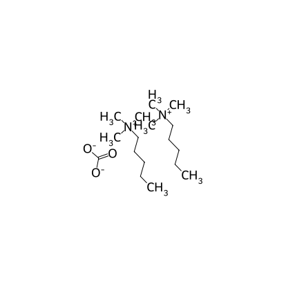 CCCCC[N+](C)(C)C.CCCCC[N+](C)(C)C.O=C([O-])[O-]